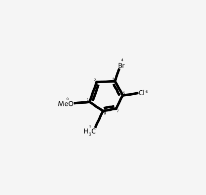 COc1cc(Br)c(Cl)cc1C